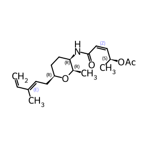 C=C/C(C)=C/C[C@H]1CC[C@@H](NC(=O)/C=C\[C@H](C)OC(C)=O)[C@@H](C)O1